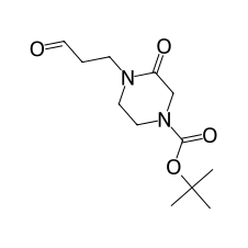 CC(C)(C)OC(=O)N1CCN(CCC=O)C(=O)C1